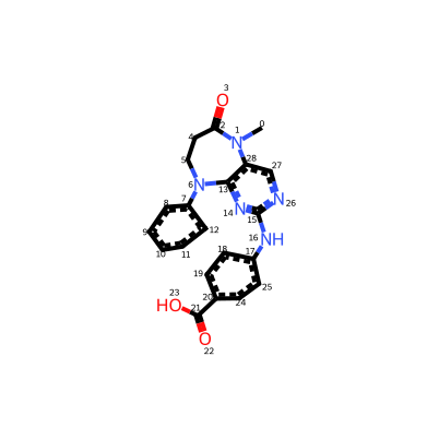 CN1C(=O)CCN(c2ccccc2)c2nc(Nc3ccc(C(=O)O)cc3)ncc21